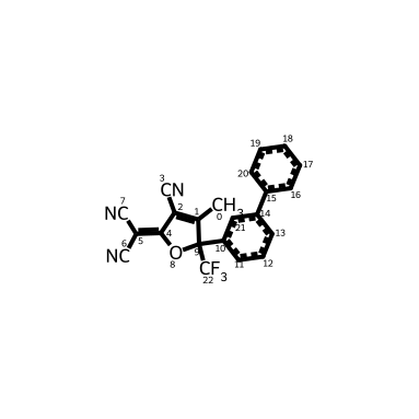 CC1=C(C#N)C(=C(C#N)C#N)OC1(c1cccc(-c2ccccc2)c1)C(F)(F)F